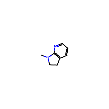 CN1CCc2[c]ccnc21